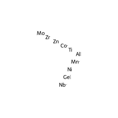 [Al].[Co].[Ge].[Mn].[Mo].[Nb].[Ni].[Ti].[Zn].[Zr]